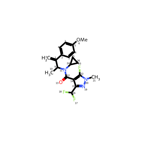 C=C(c1ccc(OC)cc1)C(C)N(C(=O)c1c(C(F)F)nn(C)c1F)C1CC1